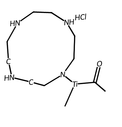 C[C](=O)[Ti]([CH3])[N]1CCNCCNCCNCC1.Cl